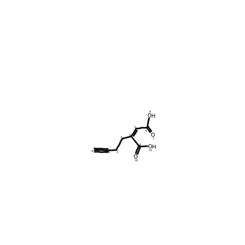 C#CCCC(=CC(=O)O)C(=O)O